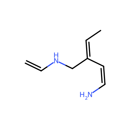 C=CNCC(/C=C\N)=C/C